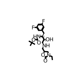 CCN1CC(CNC[C@@H](O)[C@H](Cc2cc(F)cc(F)c2)NC(=O)OC(C)(C)C)OC1=O